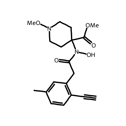 C#Cc1ccc(C)cc1CC(=O)N(O)C1(C(=O)OC)CCN(OC)CC1